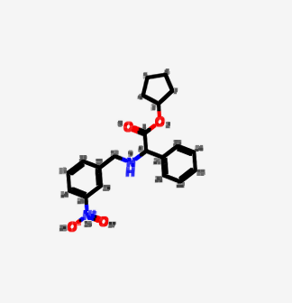 O=C(OC1CCCC1)C(NCc1cccc([N+](=O)[O-])c1)c1ccccc1